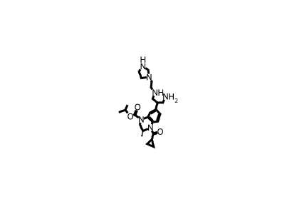 CC(C)OC(=O)N1C[C@H](C)N(C(=O)C2CC2)c2ccc(C(CN)CNCCN3CCNC3)cc21